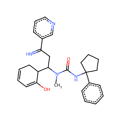 CN(C(=O)NC1(c2ccccc2)CCCC1)C(CC(=N)c1cccnc1)C1CC=CC=C1O